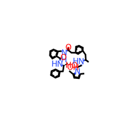 Cc1ccc(C)n1[C@H](O)CNC(C)Cc1cccc(CC(=O)NCc2ccccc2C(=O)N[C@@H](CO)Cc2ccccc2)c1